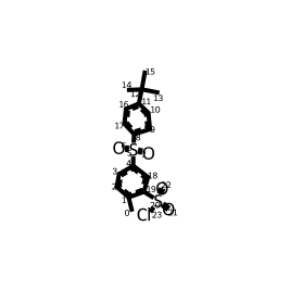 Cc1ccc(S(=O)(=O)c2ccc(C(C)(C)C)cc2)cc1S(=O)(=O)Cl